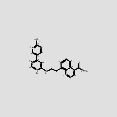 CNC(=O)c1ccnc2c(CCNc3cc(-c4cnc(N)nc4)ncn3)cccc12